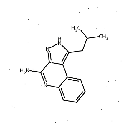 CC(C)Cc1[nH]nc2c(N)nc3ccccc3c12